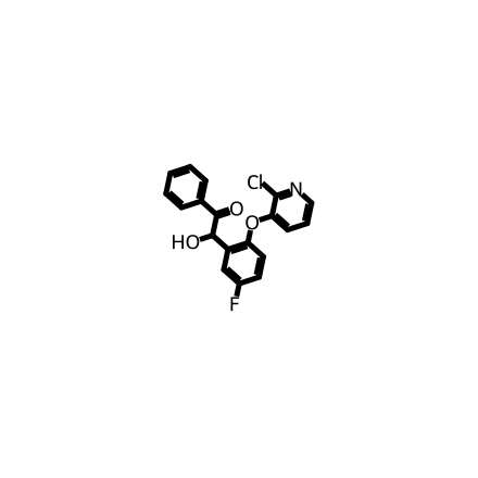 O=C(c1ccccc1)C(O)c1cc(F)ccc1Oc1cccnc1Cl